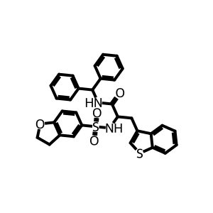 O=C(NC(c1ccccc1)c1ccccc1)C(Cc1csc2ccccc12)NS(=O)(=O)c1ccc2c(c1)CCO2